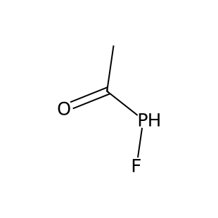 CC(=O)PF